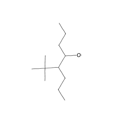 CCCC([O])C(CCC)C(C)(C)C